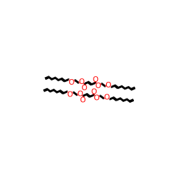 C=CCCCC=CCOCCOC(=O)C=CC(=O)OCCOCC=CCCCC=C.C=CCCCC=CCOCCOC(=O)C=CC(=O)OCCOCC=CCCCC=C